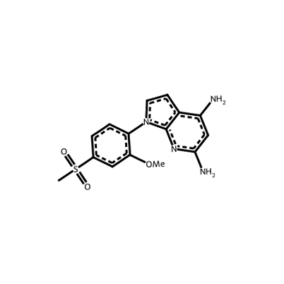 COc1cc(S(C)(=O)=O)ccc1-n1ccc2c(N)cc(N)nc21